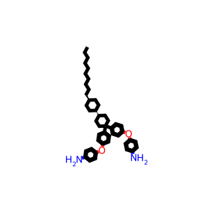 CCCCCCCCCC[C@H]1CC[C@H](C2CCC(c3ccc(Oc4ccc(N)cc4)cc3)(c3ccc(Oc4ccc(N)cc4)cc3)CC2)CC1